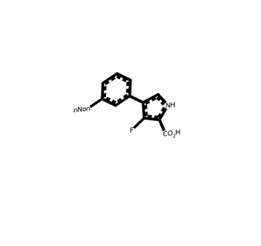 CCCCCCCCCc1cccc(-c2c[nH]c(C(=O)O)c2F)c1